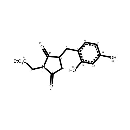 CCOC(=O)CN1C(=O)CC(Cc2ccc(O)cc2O)C1=O